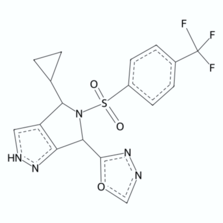 O=S(=O)(c1ccc(C(F)(F)F)cc1)N1C(c2nnco2)c2n[nH]cc2C1C1CC1